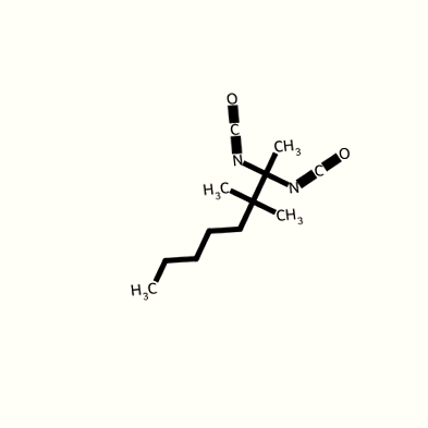 CCCCCC(C)(C)C(C)(N=C=O)N=C=O